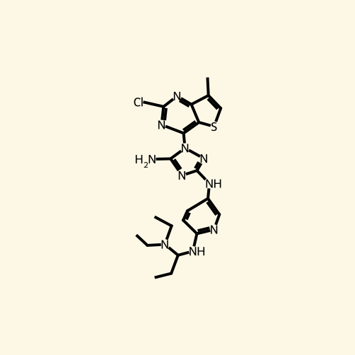 CCC(Nc1ccc(Nc2nc(N)n(-c3nc(Cl)nc4c(C)csc34)n2)cn1)N(CC)CC